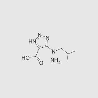 CC(C)CN(N)c1nn[nH]c1C(=O)O